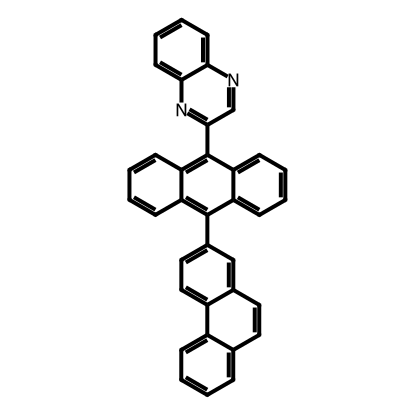 c1ccc2c(c1)ccc1cc(-c3c4ccccc4c(-c4cnc5ccccc5n4)c4ccccc34)ccc12